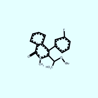 Cn1c(C(OC(C)(C)C)C(=O)O)c(-c2cccc(F)c2)c2ccccc2c1=O